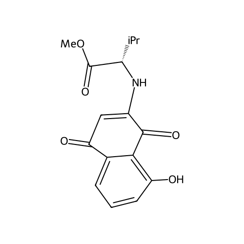 COC(=O)[C@@H](NC1=CC(=O)c2cccc(O)c2C1=O)C(C)C